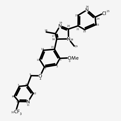 COc1cc(OCc2ccc(C(F)(F)F)nc2)ccc1-c1c(C)nc(-c2ccc(Cl)nc2)n1C